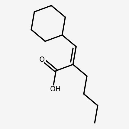 CCCCC(=CC1CCCCC1)C(=O)O